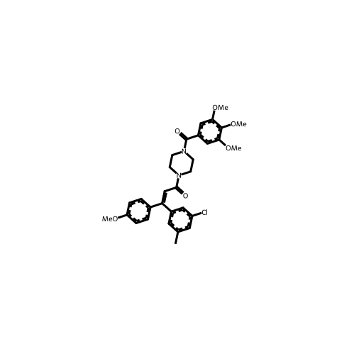 COc1ccc(/C(=C/C(=O)N2CCN(C(=O)c3cc(OC)c(OC)c(OC)c3)CC2)c2cc(C)cc(Cl)c2)cc1